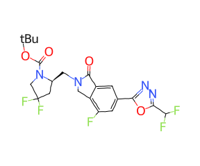 CC(C)(C)OC(=O)N1CC(F)(F)C[C@@H]1CN1Cc2c(F)cc(-c3nnc(C(F)F)o3)cc2C1=O